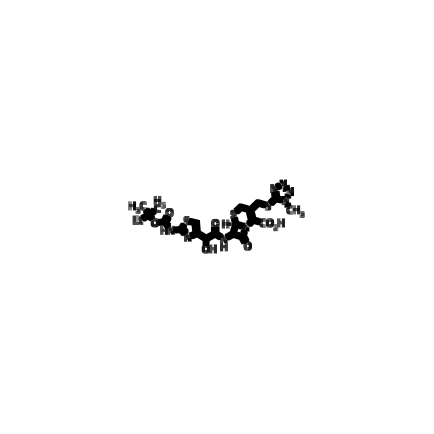 CCC(C)(C)OC(=O)Nc1nc(C(O)C(=O)NC2C(=O)N3C(C(=O)O)=C(CSc4nnnn4C)CS[C@H]23)cs1